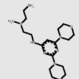 CN(CCN)CCNc1cc(N2CCOCC2)nc(N2CCOCC2)n1